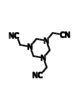 N#CCN1CN(CC#N)CN(CC#N)C1